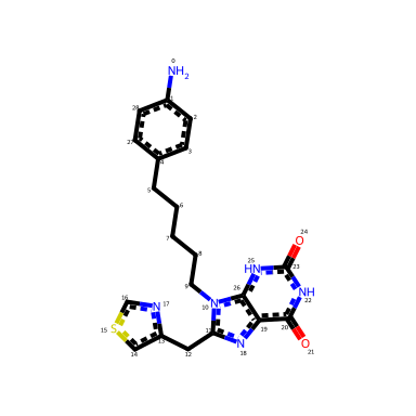 Nc1ccc(CCCCCn2c(Cc3cscn3)nc3c(=O)[nH]c(=O)[nH]c32)cc1